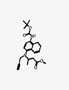 C#CCN(c1ccc(NC(=O)OC(C)(C)C)c2c1C=CCC2)C(C)CC(=O)OC